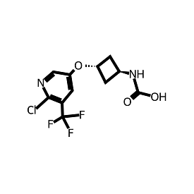 O=C(O)N[C@H]1C[C@H](Oc2cnc(Cl)c(C(F)(F)F)c2)C1